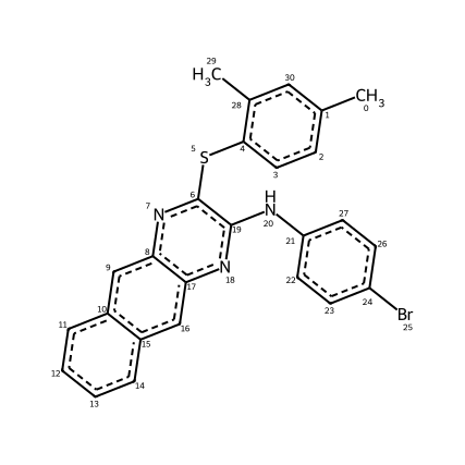 Cc1ccc(Sc2nc3cc4ccccc4cc3nc2Nc2ccc(Br)cc2)c(C)c1